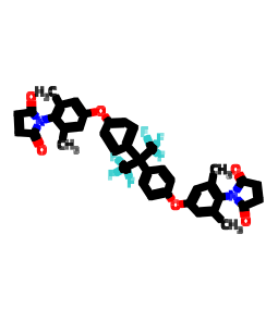 Cc1cc(Oc2ccc(C(c3ccc(Oc4cc(C)c(N5C(=O)C=CC5=O)c(C)c4)cc3)(C(F)(F)F)C(F)(F)F)cc2)cc(C)c1N1C(=O)C=CC1=O